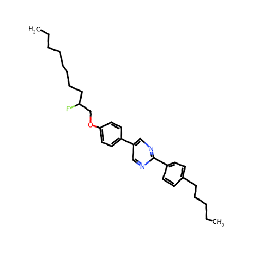 CCCCCCCCC(F)COc1ccc(-c2cnc(-c3ccc(CCCCC)cc3)nc2)cc1